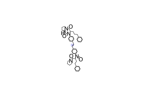 O=CN(c1ccc(/C=C/c2ccc(N3C(=O)[C@@H]4CCCN4C(=O)C3CCCc3ccccc3)cc2)cc1)C(CCc1ccccc1)C(=O)N1CCCC1